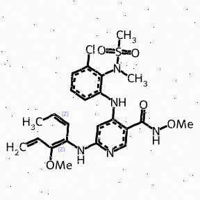 C=C/C(OC)=C(\C=C/C)Nc1cc(Nc2cccc(Cl)c2N(C)S(C)(=O)=O)c(C(=O)NOC)cn1